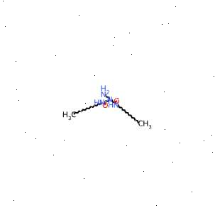 CCCCCCCCCCCCCCCNC(=O)CCN(CCCN)CCC(=O)NCCCCCCCCCCCCCCC